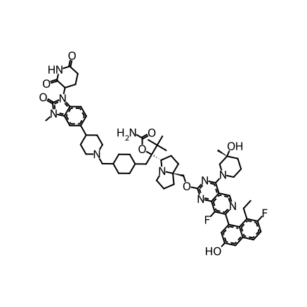 CCc1c(F)ccc2cc(O)cc(-c3ncc4c(N5CCC[C@@](C)(O)C5)nc(OC[C@@]56CCCN5[C@H](C(CC5CCC(CN7CCC(c8ccc9c(c8)n(C)c(=O)n9C8CCC(=O)NC8=O)CC7)CC5)(OC(N)=O)C(C)(C)C)CC6)nc4c3F)c12